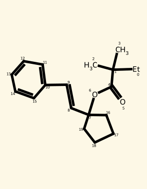 CCC(C)(C)C(=O)OC1(/C=C/c2ccccc2)CCCC1